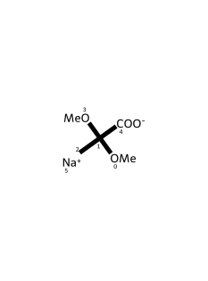 COC(C)(OC)C(=O)[O-].[Na+]